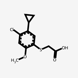 COc1cc(Cl)c(C2CC2)cc1SCC(=O)O